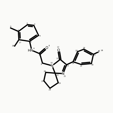 Cc1cccc(NC(=O)CN2C(=O)C(c3ccc(F)cc3)=NC23CCCC3)c1C